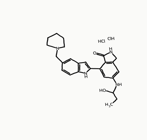 CCC(O)Nc1cc2c(c(-c3cc4cc(CN5CCCCC5)ccc4[nH]3)c1)C(=O)NC2.Cl.Cl